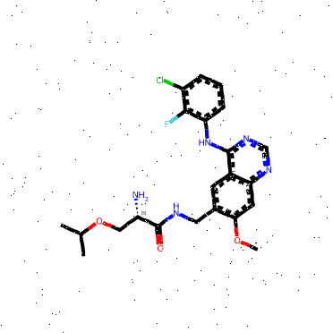 COc1cc2ncnc(Nc3cccc(Cl)c3F)c2cc1CNC(=O)[C@@H](N)COC(C)C